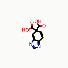 O=C(O)C1(C(=O)O)C=CC2=NC=NC2=C1